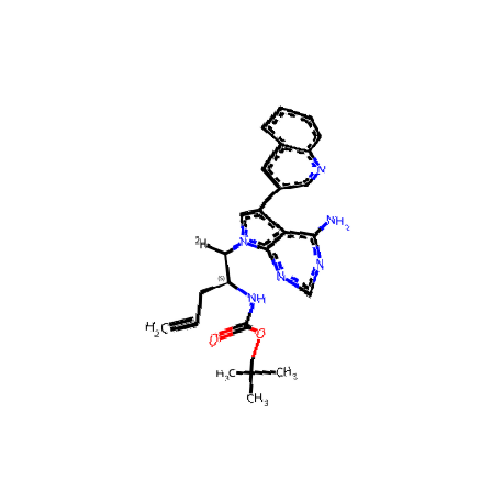 [2H]C([C@H](CC=C)NC(=O)OC(C)(C)C)n1cc(-c2cnc3ccccc3c2)c2c(N)ncnc21